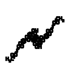 C=CC(=O)OCCCCOC(=O)Oc1ccc(C(=O)Oc2ccc(C(=O)O)c([C@H]3CO[C@H]4[C@@H]3OC[C@H]4c3cc(OC(=O)c4ccc(OC(=O)OCCCCOC(=O)C=C)cc4)ccc3C(=O)O)c2)cc1